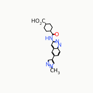 Cn1cc(-c2ccc3nnc(NC(=O)C4CCC(C(=O)O)CC4)cc3c2)cn1